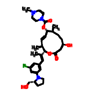 C/C(=C\c1cc(F)cc(N2CCC[C@@H]2CO)c1)[C@H]1OC(=O)C[C@H](O)CC[C@H](C)[C@@H](OC(=O)N2CCN(C)CC2)/C=C/[C@@H]1C